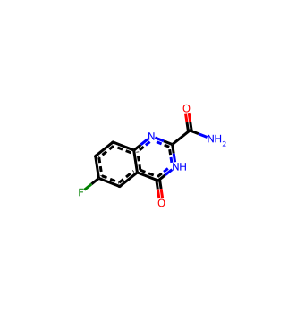 NC(=O)c1nc2ccc(F)cc2c(=O)[nH]1